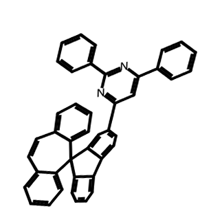 C1=Cc2ccccc2C2(c3ccccc31)c1ccccc1-c1ccc(-c3cc(-c4ccccc4)nc(-c4ccccc4)n3)cc12